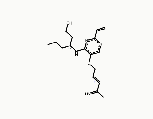 C=Cc1ncc(OC/C=C/C(C)=N)c(N[C@@H](CCC)CCO)n1